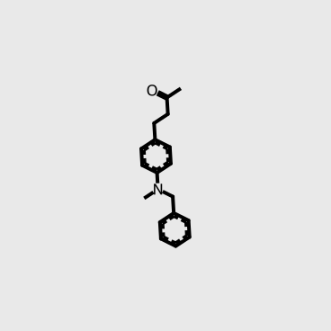 CC(=O)CCc1ccc(N(C)Cc2ccccc2)cc1